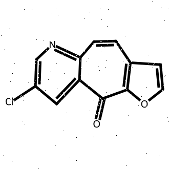 O=c1c2cc(Cl)cnc2ccc2ccoc12